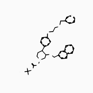 CC(C)(C)OC(=O)ON1CCC(c2ccc(OCCOCc3cccnc3)cc2)C(OCc2ccc3ccccc3c2)C1